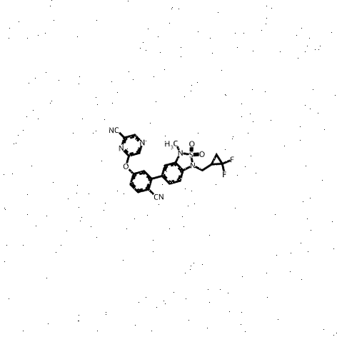 CN1c2cc(-c3cc(Oc4cncc(C#N)n4)ccc3C#N)ccc2N(CC2CC2(F)F)S1(=O)=O